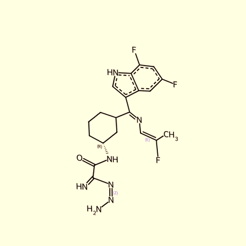 C/C(F)=C\N=C(c1c[nH]c2c(F)cc(F)cc12)C1CCC[C@@H](NC(=O)C(=N)/N=N\N)C1